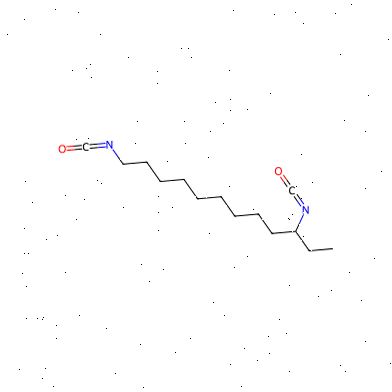 CCC(CCCCCCCCCN=C=O)N=C=O